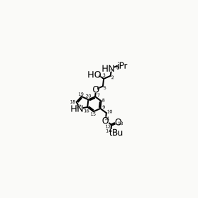 CC(C)NCC(O)COc1cc(COC(=O)C(C)(C)C)cc2[nH]ccc12